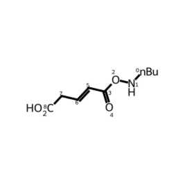 CCCCNOC(=O)C=CCC(=O)O